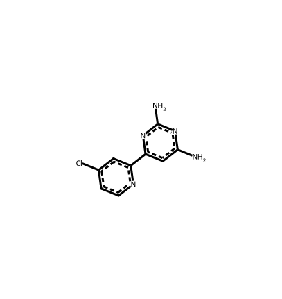 Nc1cc(-c2cc(Cl)ccn2)nc(N)n1